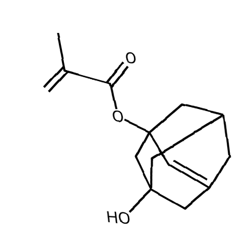 C=C(C)C(=O)OC12C=C3CC(CC(O)(C3)C1)C2